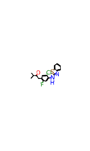 CC(C)C(=O)Cc1cc(Cl)c(Nc2nc3ccccc3s2)cc1F